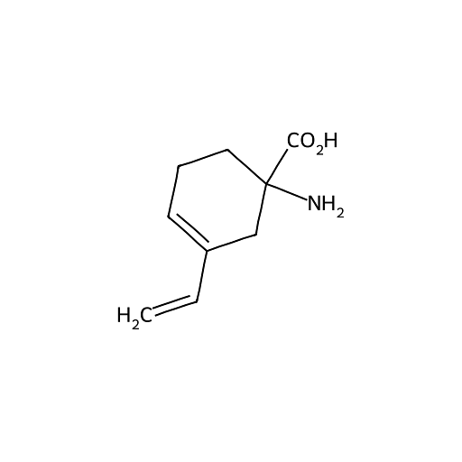 C=CC1=CCCC(N)(C(=O)O)C1